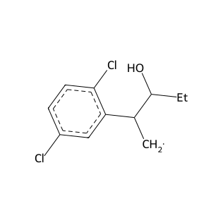 [CH2]C(c1cc(Cl)ccc1Cl)C(O)CC